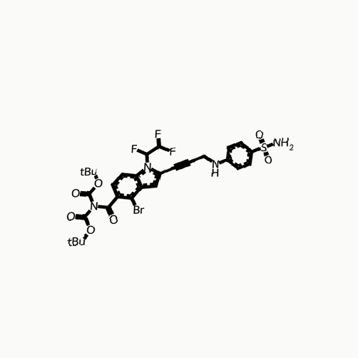 CC(C)(C)OC(=O)N(C(=O)OC(C)(C)C)C(=O)c1ccc2c(cc(C#CCNc3ccc(S(N)(=O)=O)cc3)n2C(F)C(F)F)c1Br